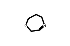 [CH]1C=NCCCO1